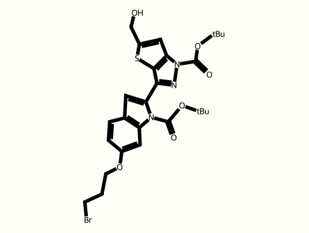 CC(C)(C)OC(=O)n1nc(-c2cc3ccc(OCCCBr)cc3n2C(=O)OC(C)(C)C)c2sc(CO)cc21